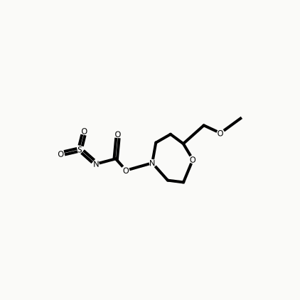 COCC1CCN(OC(=O)N=S(=O)=O)CCO1